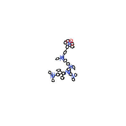 c1ccc(-c2cc(-c3ccc(-c4c(-c5ccccc5)cc(-n5c6ccc(N(c7ccccc7)c7ccccc7)cc6c6cc(N(c7ccccc7)c7ccc(-c8ccc(-c9cc(-c%10ccc(-c%11cc(-c%12ccccc%12)c(N%12c%13ccccc%13Oc%13ccccc%13%12)c(-c%12ccccc%12)c%11)cc%10)nc(-c%10ccccc%10)n9)cc8)cc7)ccc65)cc4-c4ccccc4)cc3)nc(-c3ccccc3)n2)cc1